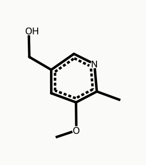 COc1cc(CO)cnc1C